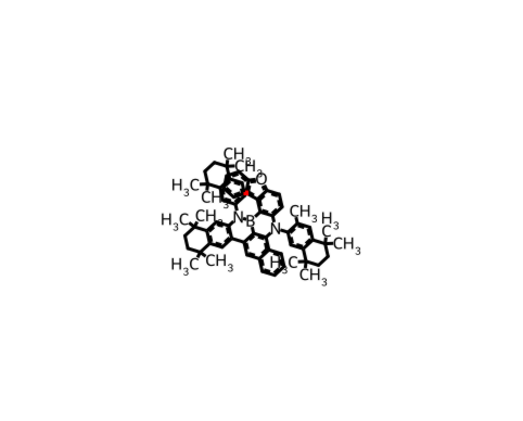 Cc1cc2c(cc1N1c3ccc4oc5ccccc5c4c3B3c4c(cc5ccccc5c41)-c1cc4c(cc1N3c1ccc3c(c1)C(C)(C)CCC3(C)C)C(C)(C)CCC4(C)C)C(C)(C)CCC2(C)C